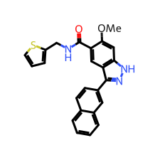 COc1cc2[nH]nc(-c3ccc4ccccc4c3)c2cc1C(=O)NCc1cccs1